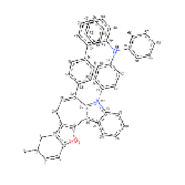 CC1C=Cc2oc3c(c2C1)CC=C(c1ccc(-c2ccccc2)cc1)c1c-3c2ccccc2n1-c1ccc(N(c2ccccc2)c2ccccc2)cc1